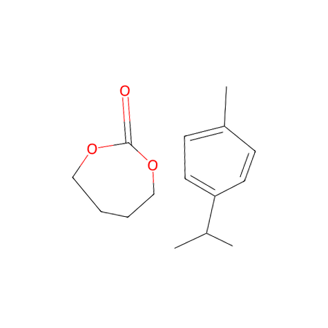 Cc1ccc(C(C)C)cc1.O=C1OCCCCO1